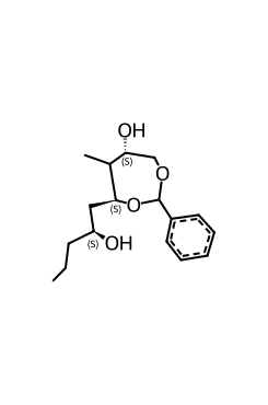 CCC[C@H](O)C[C@@H]1OC(c2ccccc2)OC[C@@H](O)C1C